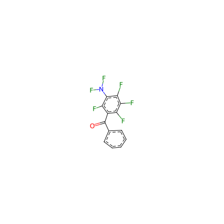 O=C(c1ccccc1)c1c(F)c(F)c(F)c(N(F)F)c1F